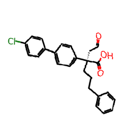 O=CC[C@@](CCCc1ccccc1)(C(=O)O)c1ccc(-c2ccc(Cl)cc2)cc1